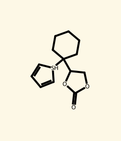 O=C1OCC(C2([SH]3C=CC=C3)CCCCC2)O1